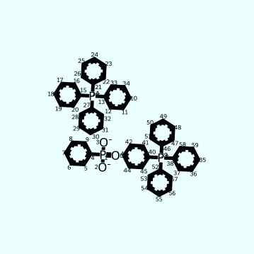 O=P([O-])([O-])c1ccccc1.c1ccc([P+](c2ccccc2)(c2ccccc2)c2ccccc2)cc1.c1ccc([P+](c2ccccc2)(c2ccccc2)c2ccccc2)cc1